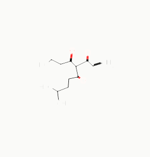 C=CC(=O)C(C(=O)CCC)C(=O)CCC(C)C